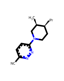 CC(C)[C@H]1CCN(c2ccc(C#N)nn2)C[C@H]1C